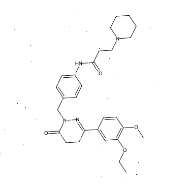 CCOc1cc(C2=NN(Cc3ccc(NC(=O)CCN4CCCCC4)cc3)C(=O)CC2)ccc1OC